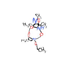 CCCOCCN1CCOCCNc2c(c(C)c3nc(C)oc3c2C)OCCOc2cc(C)ccc21